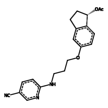 CC(=O)O[C@H]1CCc2cc(OCCCNc3ccc(C#N)cn3)ccc21